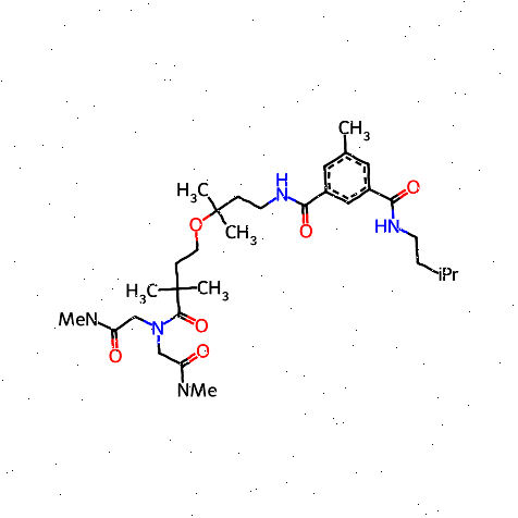 CNC(=O)CN(CC(=O)NC)C(=O)C(C)(C)CCOC(C)(C)CCNC(=O)c1cc(C)cc(C(=O)NCCC(C)C)c1